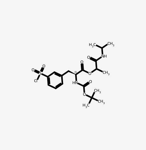 CC(C)NC(=O)C(C)OC(=O)[C@H](Cc1cccc(S(=O)(=O)Cl)c1)NC(=O)OC(C)(C)C